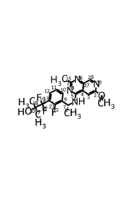 COc1cc2c(N[C@H](C)c3cccc(C(F)(F)C(C)(C)O)c3F)nc(C)nc2cn1